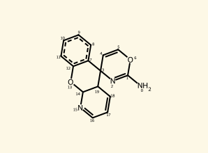 NC1=NC2(C=CO1)c1ccccc1OC1N=CC=CC12